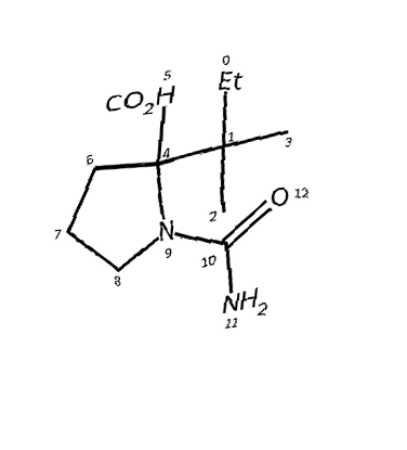 CCC(C)(C)C1(C(=O)O)CCCN1C(N)=O